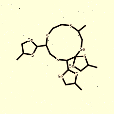 CC1C[Se]C2(SC(C)C[Se]2)C(C2SC(C)C[Se]2)SCC(C2SC(C)C[Se]2)SCCS1